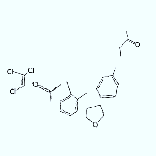 C1CCOC1.CC(C)=O.CCC(C)=O.Cc1ccccc1.Cc1ccccc1C.ClC=C(Cl)Cl